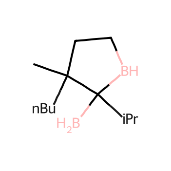 BC1(C(C)C)BCCC1(C)CCCC